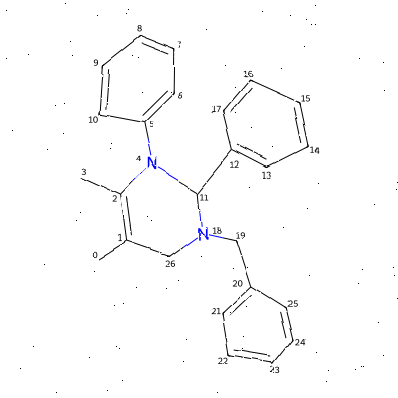 CC1=C(C)N(c2ccccc2)C(c2ccccc2)N(Cc2ccccc2)C1